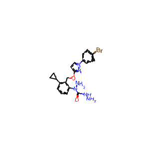 NNC(=O)N(N)c1cccc(C2CC2)c1COc1ccn(-c2ccc(Br)cc2)n1